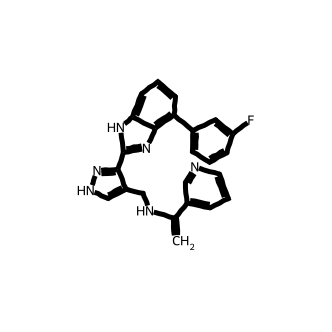 C=C(NCc1c[nH]nc1-c1nc2c(-c3cccc(F)c3)cccc2[nH]1)c1cccnc1